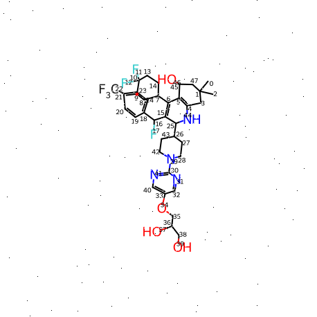 CC1(C)CC2=C(C(C3CCC(F)(F)CC3)=C(C(F)c3ccc(C(F)(F)F)cc3)C(C3CCN(c4ncc(OCC(O)CO)cn4)CC3)N2)C(O)C1